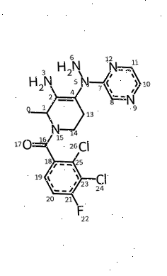 CC1C(N)=C(N(N)c2cnccn2)CCN1C(=O)c1ccc(F)c(Cl)c1Cl